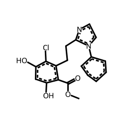 COC(=O)c1c(O)cc(O)c(Cl)c1CCc1nccn1-c1ccccc1